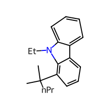 CCCC(C)(C)c1cccc2c3ccccc3n(CC)c12